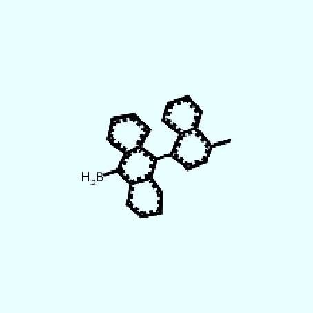 Bc1c2ccccc2c(-c2ccc(C)c3ccccc23)c2ccccc12